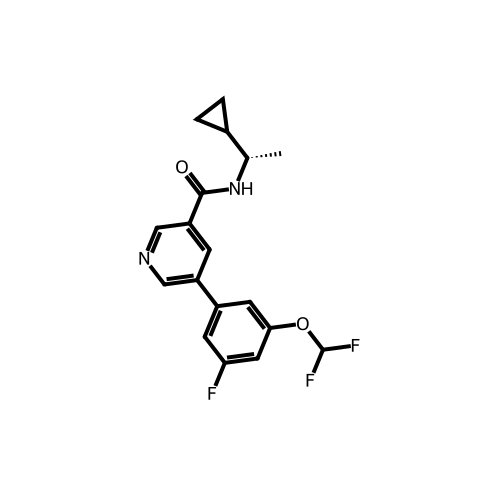 C[C@H](NC(=O)c1cncc(-c2cc(F)cc(OC(F)F)c2)c1)C1CC1